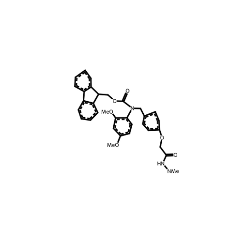 [CH2]NNC(=O)COc1ccc(CN(C(=O)OCC2c3ccccc3-c3ccccc32)c2ccc(OC)cc2OC)cc1